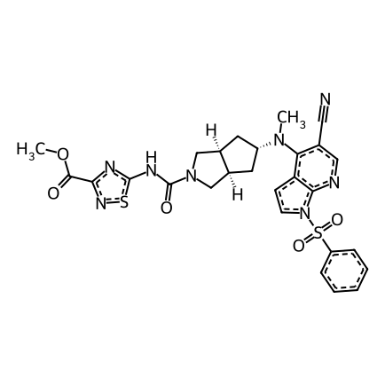 COC(=O)c1nsc(NC(=O)N2C[C@H]3C[C@H](N(C)c4c(C#N)cnc5c4ccn5S(=O)(=O)c4ccccc4)C[C@H]3C2)n1